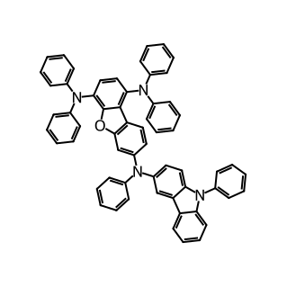 c1ccc(N(c2ccc3c(c2)oc2c(N(c4ccccc4)c4ccccc4)ccc(N(c4ccccc4)c4ccccc4)c23)c2ccc3c(c2)c2ccccc2n3-c2ccccc2)cc1